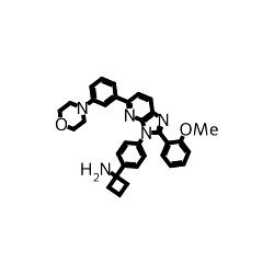 COc1ccccc1-c1nc2ccc(-c3cccc(N4CCOCC4)c3)nc2n1-c1ccc(C2(N)CCC2)cc1